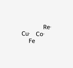 [Co].[Cu].[Fe].[Re]